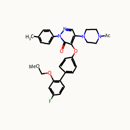 COCOc1cc(F)ccc1-c1ccc(Oc2c(N3CCN(C(C)=O)CC3)cnn(-c3ccc(C)cc3)c2=O)cc1